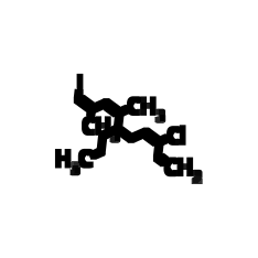 C=C/C(Cl)=C\CC(CCC)/C(C)=C\C(C)=C/I